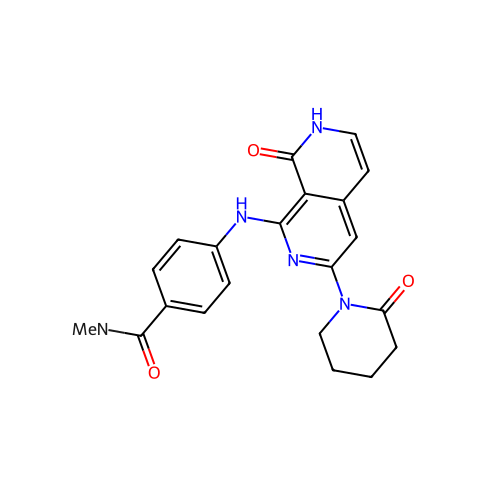 CNC(=O)c1ccc(Nc2nc(N3CCCCC3=O)cc3cc[nH]c(=O)c23)cc1